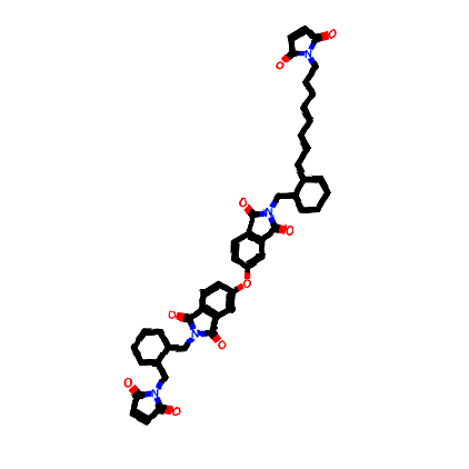 O=C1C=CC(=O)N1CCCCCCCCC1CCCCC1CN1C(=O)c2ccc(Oc3ccc4c(c3)C(=O)N(CC3CCCCC3CN3C(=O)C=CC3=O)C4=O)cc2C1=O